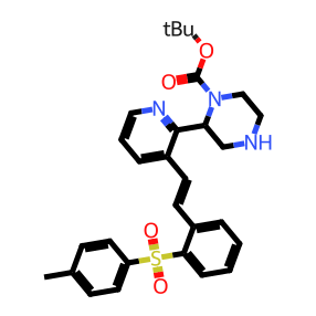 Cc1ccc(S(=O)(=O)c2ccccc2C=Cc2cccnc2C2CNCCN2C(=O)OC(C)(C)C)cc1